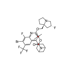 CC(C)(C)OC(=O)N1C2CC1CN(c1nc(OC[C@@]34CCCN3C[C@H](F)C4)nc3c(F)c(Br)c(C(F)(F)F)cc13)C2